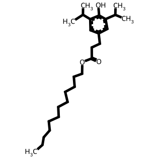 CCCCCCCCCCCCOC(=O)CCc1cc(C(C)C)c(O)c(C(C)C)c1